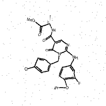 COC(=O)[C@H](C)NC(=O)c1cnc(Nc2ccc(OC(C)C)c(F)c2)n(Cc2ccc(Cl)cc2)c1=O